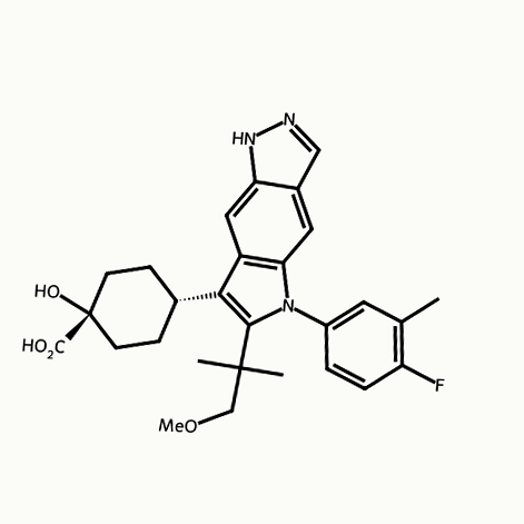 COCC(C)(C)c1c([C@H]2CC[C@](O)(C(=O)O)CC2)c2cc3[nH]ncc3cc2n1-c1ccc(F)c(C)c1